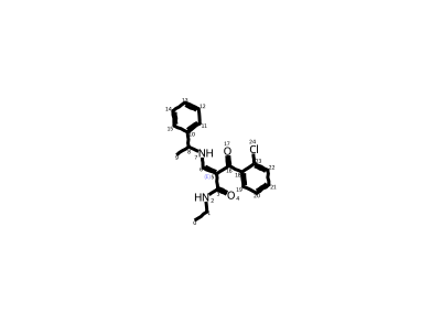 CCNC(=O)/C(=C/NC(C)c1ccccc1)C(=O)c1ccccc1Cl